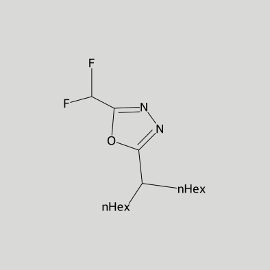 CCCCCCC(CCCCCC)c1nnc(C(F)F)o1